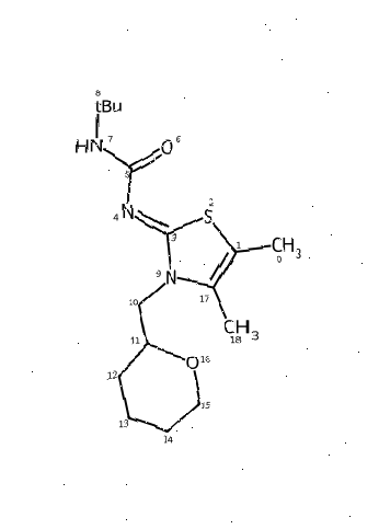 Cc1sc(=NC(=O)NC(C)(C)C)n(CC2CCCCO2)c1C